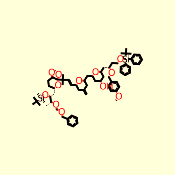 C=C1CC(/C=C/C(C)(C)[C@]2(OC)O[C@H](C[C@@H](O[Si](C)(C)C(C)(C)C)[C@@H](C)OCOCc3ccccc3)CCC2=O)OC(CC2C[C@@H](O)CC(C[C@H](CCO[Si](c3ccccc3)(c3ccccc3)C(C)(C)C)OCc3ccc(OC)cc3)O2)C1